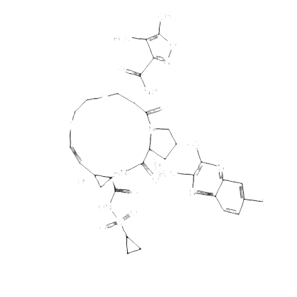 Cc1nc2ccc(F)cc2nc1O[C@@H]1C[C@H]2C(=O)N[C@]3(C(=O)NS(=O)(=O)C4CC4)C[C@H]3/C=C\CCCCC[C@H](NC(=O)c3noc(C)c3C)C(=O)N2C1